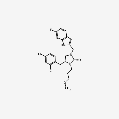 COCCCN1C(=O)N(Cc2nc3ccc(F)nc3[nH]2)CC1Cc1ccc(Cl)cc1Cl